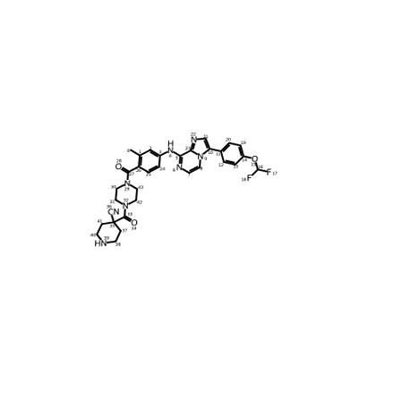 Cc1cc(Nc2nccn3c(-c4ccc(OC(F)F)cc4)cnc23)ccc1C(=O)N1CCN(C(=O)C2(C#N)CCNCC2)CC1